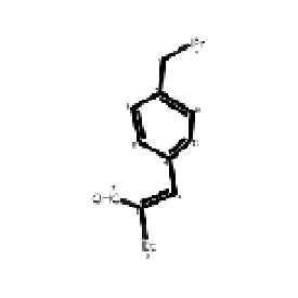 CCC(C=O)=Cc1ccc(CC(C)C)cc1